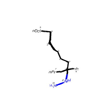 CCCCCCCCCCCCCC(CCC)(CCC)NN